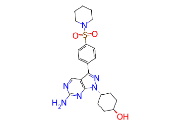 Nc1ncc2c(-c3ccc(S(=O)(=O)N4CCCCC4)cc3)nn([C@H]3CC[C@H](O)CC3)c2n1